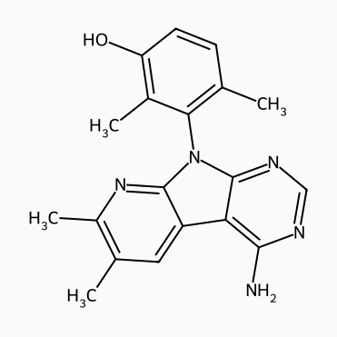 Cc1cc2c3c(N)ncnc3n(-c3c(C)ccc(O)c3C)c2nc1C